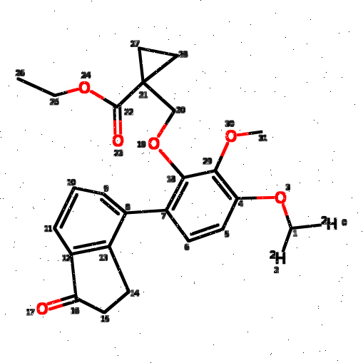 [2H]C([2H])Oc1ccc(-c2cccc3c2CCC3=O)c(OCC2(C(=O)OCC)CC2)c1OC